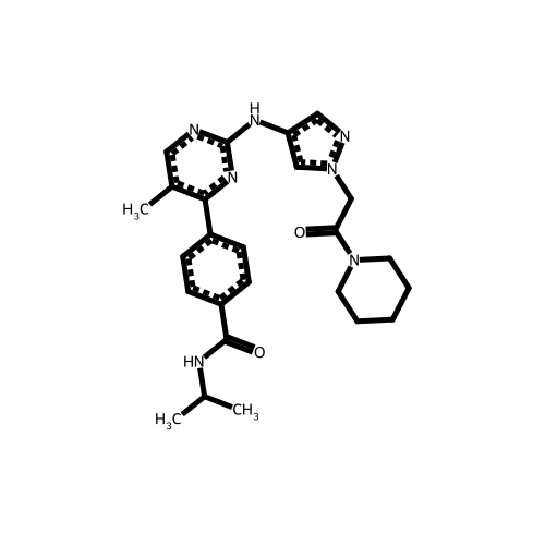 Cc1cnc(Nc2cnn(CC(=O)N3CCCCC3)c2)nc1-c1ccc(C(=O)NC(C)C)cc1